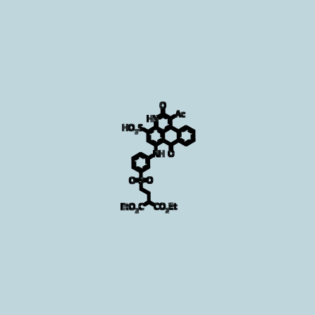 CCOC(=O)C(CCS(=O)(=O)c1cccc(Nc2cc(S(=O)(=O)O)c3[nH]c(=O)c(C(C)=O)c4c3c2C(=O)c2ccccc2-4)c1)C(=O)OCC